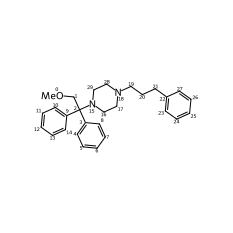 COCC(c1ccccc1)(c1ccccc1)N1CCN(CCCc2ccccc2)CC1